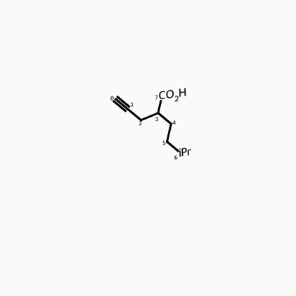 C#CCC(CCC(C)C)C(=O)O